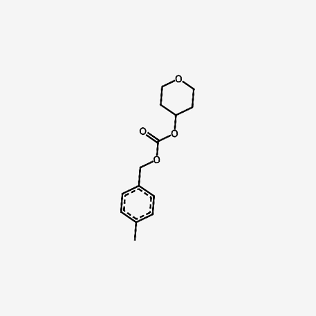 Cc1ccc(COC(=O)OC2CCOCC2)cc1